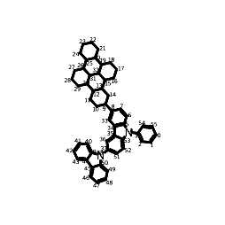 c1ccc(-n2c3ccc(C4CCC5C(C4)C4CCCC6C7CCCCC7C7CCCC5C7C64)cc3c3cc(-n4c5ccccc5c5ccccc54)ccc32)cc1